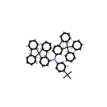 CC(C)(C)c1ccc(N(c2ccc3c(c2)C(c2ccccc2)(c2ccccc2)c2ccccc2-3)c2cccc3c2-c2ccccc2C32c3ccccc3-c3ccccc32)cc1